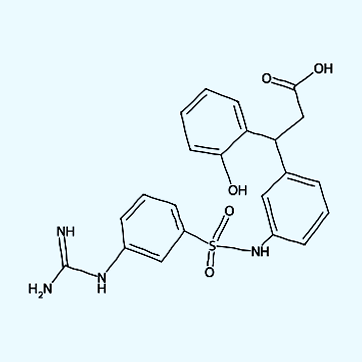 N=C(N)Nc1cccc(S(=O)(=O)Nc2cccc(C(CC(=O)O)c3ccccc3O)c2)c1